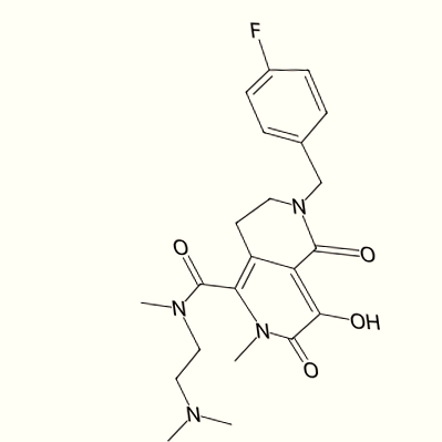 CN(C)CCN(C)C(=O)c1c2c(c(O)c(=O)n1C)C(=O)N(Cc1ccc(F)cc1)CC2